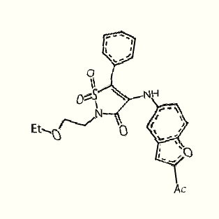 CCOCCN1C(=O)C(Nc2ccc3oc(C(C)=O)cc3c2)=C(c2ccccc2)S1(=O)=O